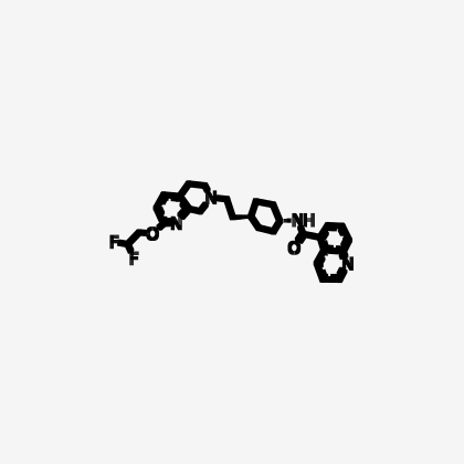 O=C(N[C@H]1CC[C@H](CCN2CCc3ccc(OCC(F)F)nc3C2)CC1)c1cccc2ncccc12